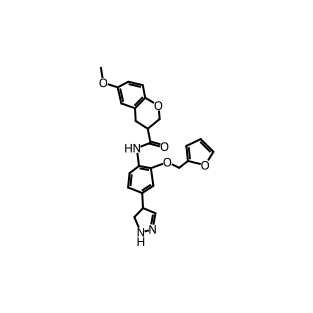 COc1ccc2c(c1)CC(C(=O)Nc1ccc(C3C=NNC3)cc1OCc1ccco1)CO2